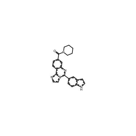 O=C(c1ccc2c(c1)nc(-c1ccc3[nH]ccc3c1)n1ccnc21)N1CCCCC1